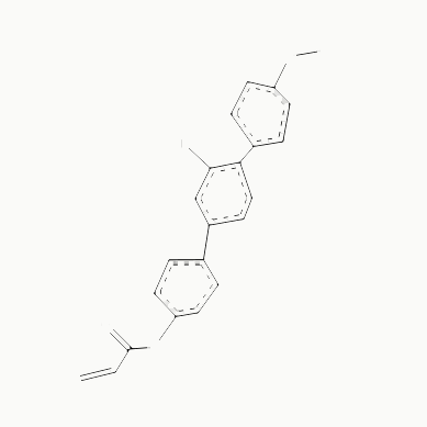 C=CC(=O)Oc1ccc(-c2ccc(-c3ccc(OC=O)cc3)c(F)c2)cc1